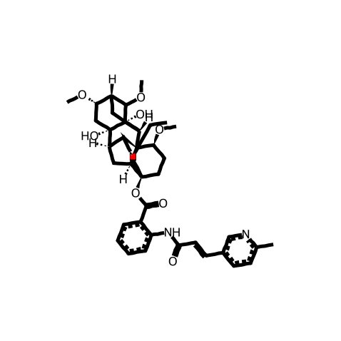 CCN1C[C@]2(OC(=O)c3ccccc3NC(=O)/C=C/c3ccc(C)nc3)CC[C@H](OC)[C@]34C1[C@@H](C[C@H]23)[C@@]1(O)C[C@H](OC)[C@H]2C[C@H]4[C@]1(O)C2OC